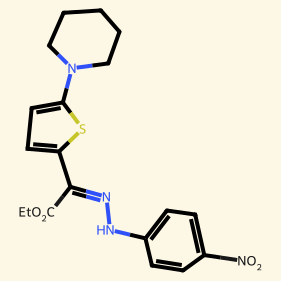 CCOC(=O)/C(=N\Nc1ccc([N+](=O)[O-])cc1)c1ccc(N2CCCCC2)s1